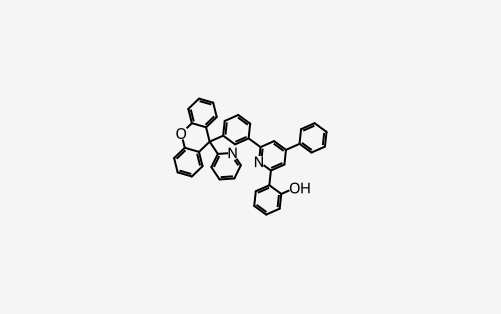 Oc1ccccc1-c1cc(-c2ccccc2)cc(-c2cccc(C3(c4ccccn4)c4ccccc4Oc4ccccc43)c2)n1